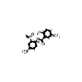 Bc1ccc(NC(=O)c2cc(C(F)(F)F)ccc2C(F)(F)F)c(P(=C)=O)c1